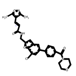 Cc1noc(C)c1/C=C/C(=O)NCc1cc2cc(-c3ccc(C(=O)N4CCOCC4)cc3)cc(Cl)c2o1